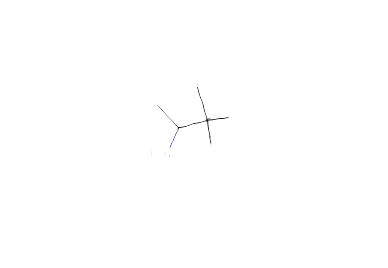 CC(N)C(C)(C)C(=O)O.O